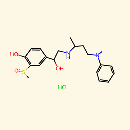 CC(CCN(C)c1ccccc1)NCC(O)c1ccc(O)c([S+](C)[O-])c1.Cl